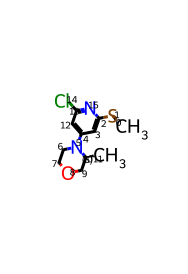 CSc1cc(N2CCOC[C@@H]2C)cc(Cl)n1